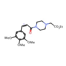 CCOC(=O)CN1CCN(C(=O)/C=C\c2cc(OC)c(OC)c(OC)c2)CC1